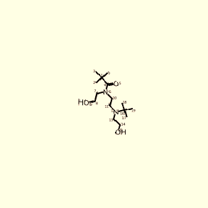 CC(C)(C)C(=O)N(CCO)CCN(CCO)C(C)(C)C